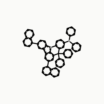 c1ccc(N(c2ccccc2)c2ccc3c(c2)C(c2ccccc2)(c2ccccc2)c2cc(-c4cccc5ccccc45)cc4c5cc(-c6cccc7ccccc67)ccc5n-3c24)cc1